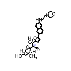 C/C(=C(/C#N)C(=O)NC(C)(C)CCO)c1ccc(-c2ccc3cc(NCCN4CCOCC4)ccc3c2)o1